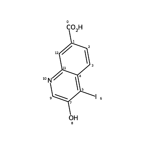 O=C(O)c1ccc2c(I)c(O)cnc2c1